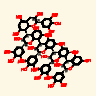 OC1=CC(O)=C2C[C@@H](O)[C@@H](c3cc(O)c(O)c(O)c3)OC2C1[C@@H]1c2c(O)cc(O)c([C@H]3c4c(O)cc(O)c([C@@H]5c6c(O)cc(O)c([C@H]7c8c(O)cc(O)cc8O[C@H](c8cc(O)c(O)c(O)c8)[C@@H]7O)c6O[C@H](c6cc(O)c(O)c(O)c6)[C@@H]5O)c4O[C@H](c4cc(O)c(O)c(O)c4)[C@@H]3O)c2O[C@H](c2cc(O)c(O)c(O)c2)[C@@H]1O